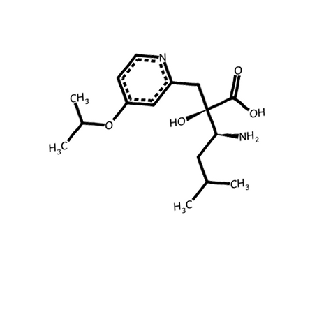 CC(C)C[C@H](N)[C@](O)(Cc1cc(OC(C)C)ccn1)C(=O)O